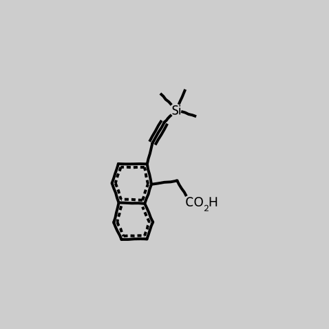 C[Si](C)(C)C#Cc1ccc2ccccc2c1CC(=O)O